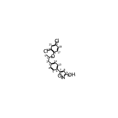 CC(Cc1ccc(-c2cc(O)no2)cc1)Oc1ccc(Cl)cc1Cl